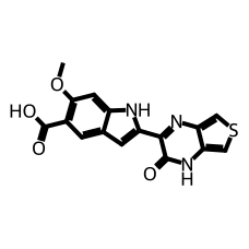 COc1cc2[nH]c(-c3nc4cscc4[nH]c3=O)cc2cc1C(=O)O